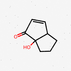 O=C1C=CC2CCCC12O